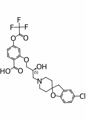 O=C(O)c1ccc(OC(=O)C(F)(F)F)cc1OC[C@@H](O)CN1CCC2(CC1)Cc1cc(Cl)ccc1O2